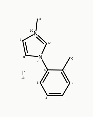 Cc1ccccc1-n1cc[n+](C)c1.[I-]